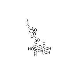 C=C/C=C(C)/C=C/C1=C(C)C(=O)C(OC(=O)CCC(=O)OCC2OC(O)C(O)C(O)C2OC2OC(CC)C(O)C(O)C2O)CC1(C)C